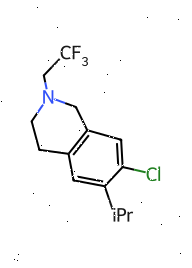 CC(C)c1cc2c(cc1Cl)CN(CC(F)(F)F)CC2